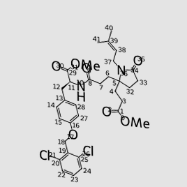 COC(=O)CCC1(CCC(=O)N[C@@H](Cc2ccc(OCc3c(Cl)cccc3Cl)cc2)C(=O)OC)CCC(=O)N1CC=C(C)C